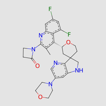 Cc1c(N2CCC2=O)nc2cc(F)cc(F)c2c1[C@H]1CC2(CCO1)CNc1cc(N3CCOCC3)cnc12